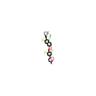 CC1CCC(c2cc(F)c(COc3ccc4c(F)c(C#CC(F)(F)F)c(F)cc4c3)c(F)c2)OC1